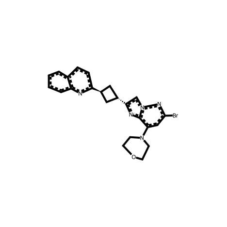 Brc1cc(N2CCOCC2)c2nc([C@H]3C[C@H](c4ccc5ccccc5n4)C3)cn2n1